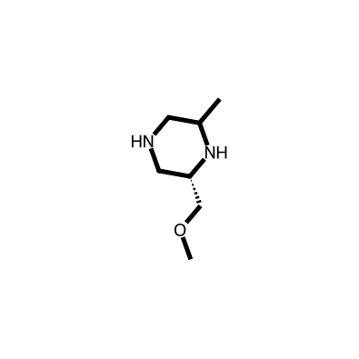 COC[C@@H]1CNCC(C)N1